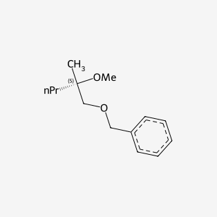 CCC[C@@](C)(COCc1ccccc1)OC